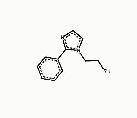 SCCn1ccnc1-c1ccccc1